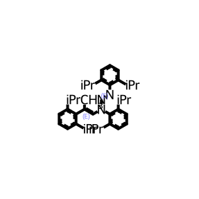 C/C(=C\N(/N=N/c1c(C(C)C)cccc1C(C)C)c1c(C(C)C)cccc1C(C)C)c1c(C(C)C)cccc1C(C)C